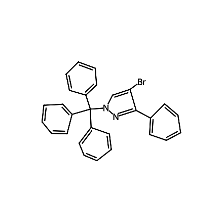 Brc1cn(C(c2ccccc2)(c2ccccc2)c2ccccc2)nc1-c1ccccc1